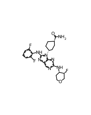 NC(=O)[C@H]1CC[C@H](n2c(Nc3c(F)cccc3F)nc3cnc(N[C@@H]4CCOC[C@@H]4F)nc32)CC1